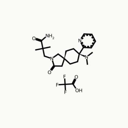 CN(C)[C@]1(c2ccccn2)CC[C@@]2(CC1)CC(=O)N(CC(C)(C)C(N)=O)C2.O=C(O)C(F)(F)F